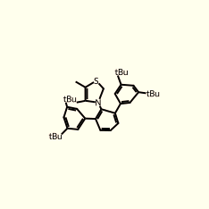 CC1=C(C)N(c2c(-c3cc(C(C)(C)C)cc(C(C)(C)C)c3)cccc2-c2cc(C(C)(C)C)cc(C(C)(C)C)c2)CS1